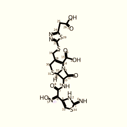 N=c1[nH]c(/C(=N/O)C(=O)NC2C(=O)N3C(C(=O)O)=C(CSc4nnc(CC(=O)O)s4)CS[C@H]23)cs1